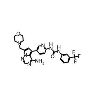 Nc1ncnn2c(CN3CCOCC3)cc(-c3ccc(NC(=O)Nc4cccc(C(F)(F)F)c4)nc3)c12